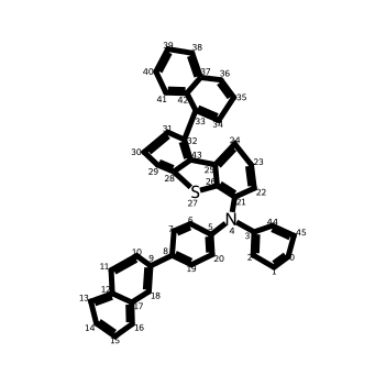 c1ccc(N(c2ccc(-c3ccc4ccccc4c3)cc2)c2cccc3c2sc2cccc(-c4cccc5ccccc45)c23)cc1